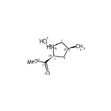 COC(=O)[C@@H]1C[C@H](C)CN1.Cl